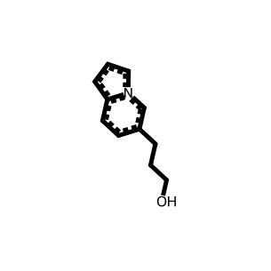 OCCCc1ccc2cccn2c1